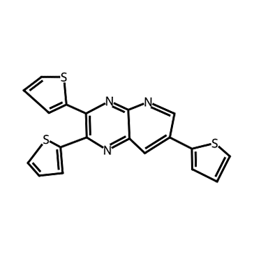 c1csc(-c2cnc3nc(-c4cccs4)c(-c4cccs4)nc3c2)c1